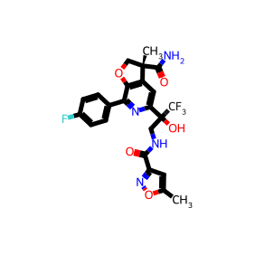 Cc1cc(C(=O)NCC(O)(c2cc3c(c(-c4ccc(F)cc4)n2)OC[C@]3(C)C(N)=O)C(F)(F)F)no1